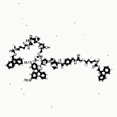 CCCOP(=O)(OC[C@H]1O[C@@H](n2cnc3c(=O)[nH]c(NC(=O)CCCN(C)C(=O)OCC4c5ccccc5-c5ccccc54)nc32)CC1O)OC1C[C@H](n2cnc3c(NC(=O)c4ccc(CNC(=O)COC(=O)CCCN(C)C(=O)OCC5c6ccccc6-c6ccccc65)cc4)ncnc32)O[C@@H]1COC(c1ccccc1)(c1ccc(OC)cc1)c1ccc(OC)cc1